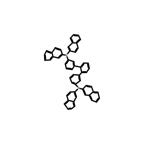 c1cc(-c2ccccc2-c2cccc(N(c3ccc4ccccc4c3)c3ccc4ccccc4c3)c2)cc(N(c2ccc3ccccc3c2)c2ccc3ccccc3c2)c1